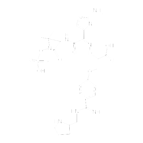 CC1(C)[C@H](NC(=O)C(=NO[C@@H](COc2ccc(C(=N)NCC3CCCN3)cc2)C(=O)O)c2csc(N)n2)C(=O)N1OS(=O)(=O)O